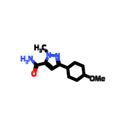 COC1CCC(c2cc(C(N)=O)n(C)n2)CC1